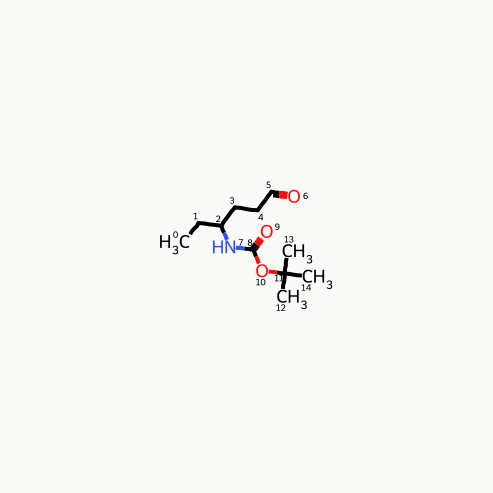 CCC(CCC=O)NC(=O)OC(C)(C)C